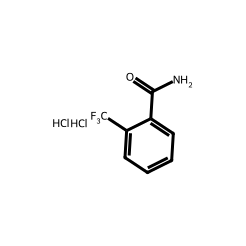 Cl.Cl.NC(=O)c1ccccc1C(F)(F)F